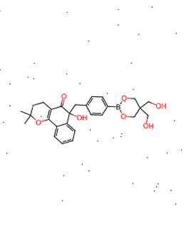 CC1(C)CCC2=C(O1)c1ccccc1C(O)(Cc1ccc(B3OCC(CO)(CO)CO3)cc1)C2=O